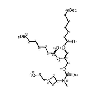 CCCCCCCCCCCCCCCC(=O)OCC(COC(=O)N(C)C1CN(CCO)C1)OC(=O)CCCCCCCCCCCCCCC